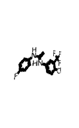 C=C(Nc1ccc(F)cc1)Nc1ccc(Cl)c(C(F)(F)F)c1